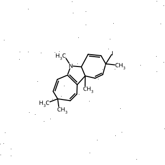 CN1C2=C(C=CC(C)(C)C=C2)C2(C)C=CC(C)(I)C=CC12